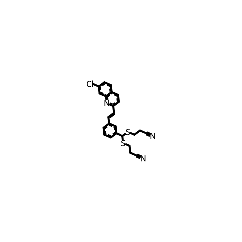 N#CCCSC(SCCC#N)c1cccc(C=Cc2ccc3ccc(Cl)cc3n2)c1